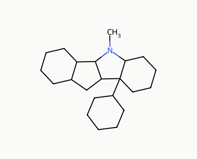 CN1C2C3CCCCC3CC2C2(C3CCCCC3)CCCCC12